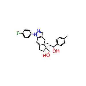 Cc1ccc(C(O)C[C@]2(CO)CCC3=Cc4c(cnn4-c4ccc(F)cc4)C[C@@]32C)cc1